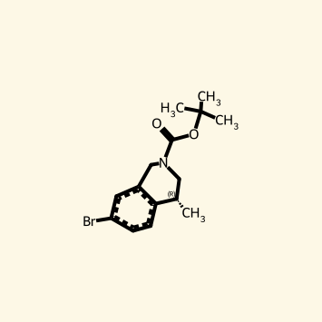 C[C@H]1CN(C(=O)OC(C)(C)C)Cc2cc(Br)ccc21